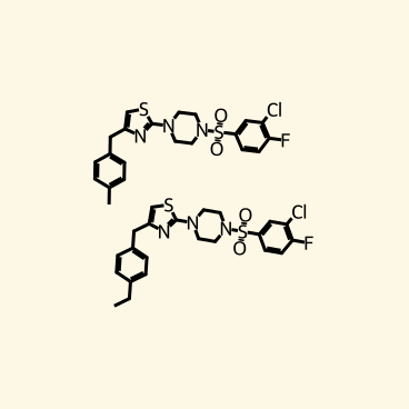 CCc1ccc(Cc2csc(N3CCN(S(=O)(=O)c4ccc(F)c(Cl)c4)CC3)n2)cc1.Cc1ccc(Cc2csc(N3CCN(S(=O)(=O)c4ccc(F)c(Cl)c4)CC3)n2)cc1